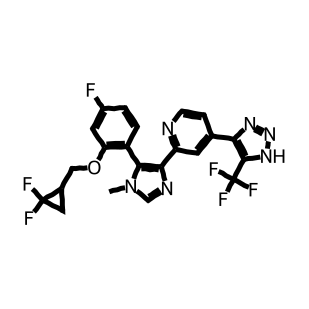 Cn1cnc(-c2cc(-c3nn[nH]c3C(F)(F)F)ccn2)c1-c1ccc(F)cc1OCC1CC1(F)F